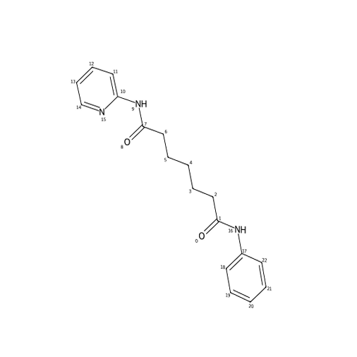 O=C(CCCCCC(=O)Nc1ccccn1)Nc1ccccc1